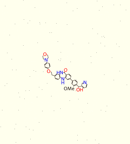 COc1cc(-c2ccc3c(c2)Nc2ccc(CCOc4ccc(N5CCOCC5)cc4)cc2NC3=O)ccc1C(O)c1cccnc1